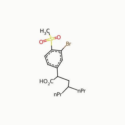 CCCC(CCC)CC(C(=O)O)c1ccc(S(C)(=O)=O)c(Br)c1